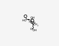 CO[C@]12CC[C@@H](O)[C@H](C#CC(O)C3CCCCC3)[C@H]1CC2=CCCC(=O)O